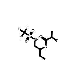 CCC(CNS(=O)(=O)C(F)(F)F)OC(=O)C(C)F